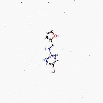 Ic1cnc(NCc2ccco2)nc1